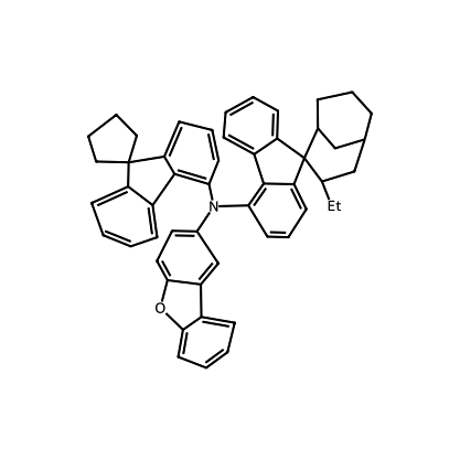 CCC1CC2CCCC(C2)C12c1ccccc1-c1c(N(c3ccc4oc5ccccc5c4c3)c3cccc4c3-c3ccccc3C43CCCC3)cccc12